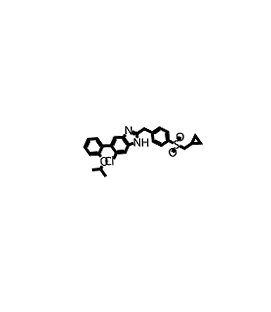 CC(C)Oc1ccccc1-c1cc2nc(Cc3ccc(S(=O)(=O)CC4CC4)cc3)[nH]c2cc1Cl